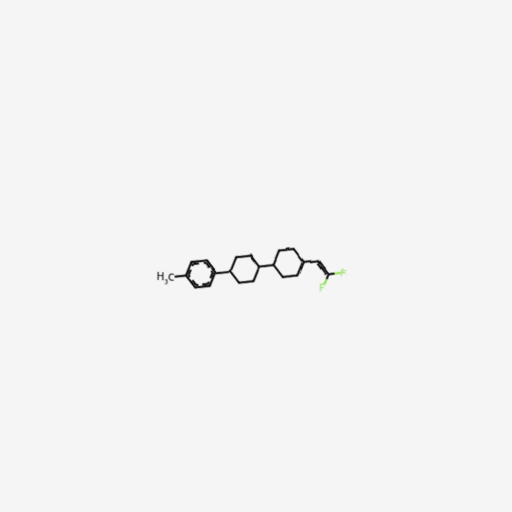 Cc1ccc(C2CCC(C3CCC(C=C(F)F)CC3)CC2)cc1